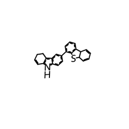 C1=CC2Sc3c(-c4ccc5[nH]c6c(c5c4)CCC=C6)cccc3C2C=C1